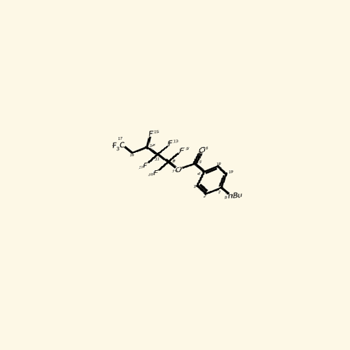 CCCCc1ccc(C(=O)OC(F)(F)C(F)(F)C(F)CC(F)(F)F)cc1